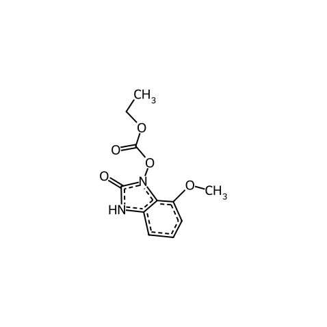 CCOC(=O)On1c(=O)[nH]c2cccc(OC)c21